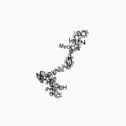 COc1cc2c(Nc3ccc(Oc4ccccc4)cc3)c(C#N)cnc2cc1OCCCN1CCN(CCCCCCOCCOc2cc(-c3scnc3C)ccc2CNC(=O)[C@@H]2C[C@@H](O)CC2C(=O)[C@H](C(C)C)N2Cc3ccccc3C2=O)CC1